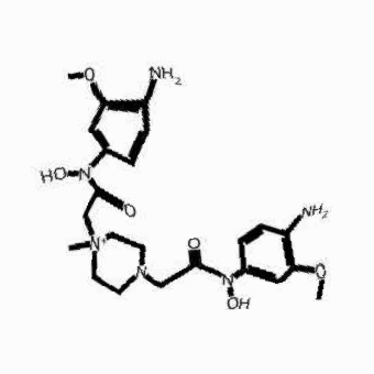 COc1cc(N(O)C(=O)CN2CC[N+](C)(CC(=O)N(O)c3ccc(N)c(OC)c3)CC2)ccc1N